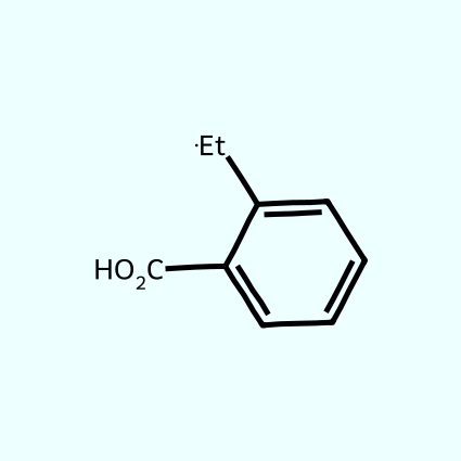 C[CH]c1ccccc1C(=O)O